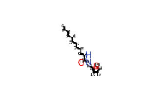 CCCCCCC/C=C/C=C/C(=O)NCc1ccco1